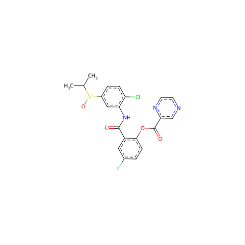 CC(C)[S+]([O-])c1ccc(Cl)c(NC(=O)c2cc(F)ccc2OC(=O)c2cnccn2)c1